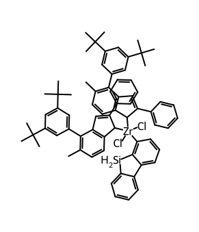 Cc1ccc2c(c1-c1cc(C(C)(C)C)cc(C(C)(C)C)c1)C=C(c1ccccc1)[CH]2[Zr]([Cl])([Cl])([c]1cccc2c1[SiH2]c1ccccc1-2)[CH]1C(c2ccccc2)=Cc2c1ccc(C)c2-c1cc(C(C)(C)C)cc(C(C)(C)C)c1